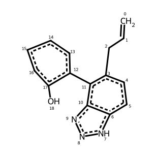 C=CCc1ccc2[nH]nnc2c1-c1ccccc1O